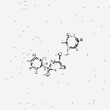 CS(=O)(=NC(=O)OCc1ccccc1)c1ccccc1